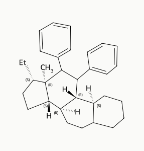 CC[C@H]1CC[C@H]2[C@@H]3CCC4CCCC[C@@H]4[C@H]3C(c3ccccc3)C(c3ccccc3)[C@]12C